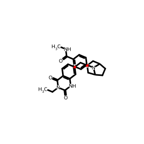 CCn1c(=O)[nH]c2cc(CN3CC4CCC(C3)N4c3ccc(C(=O)NC)nc3)ccc2c1=O